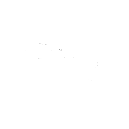 Cc1ccoc1C(=O)NC(=S)Nc1ccc(Cl)c(Cl)c1